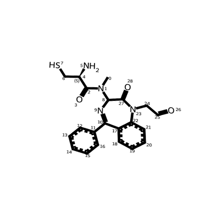 CN(C(=O)[C@H](N)CS)C1N=C(c2ccccc2)c2ccccc2N(C[C]=O)C1=O